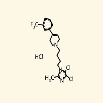 Cc1nc(Cl)c(Cl)n1CCCCN1CC=C(c2cccc(C(F)(F)F)c2)CC1.Cl